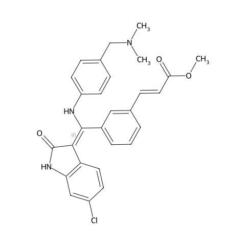 COC(=O)C=Cc1cccc(/C(Nc2ccc(CN(C)C)cc2)=C2/C(=O)Nc3cc(Cl)ccc32)c1